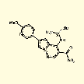 COc1ccc(-c2cc3c(N[C@H](C)C(C)(C)C)c(C(N)=O)cnn3c2)cn1